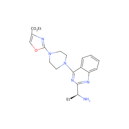 CCOC(=O)c1coc(N2CCN(c3nc([C@@H](N)CC)nc4ccccc34)CC2)n1